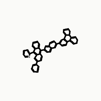 C1=CCC2C3=CCCC=C3c3ccc(-c4ccc5cc(-c6c7ccccc7c(-c7ccccn7)c7cc(-c8ccccc8)ccc67)ccc5c4)cc3C2=C1